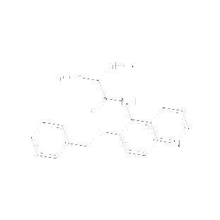 CCCCCCCCC(CCCCCC)C(=S)Nc1c(SCc2ccccc2)ccc2ncccc12